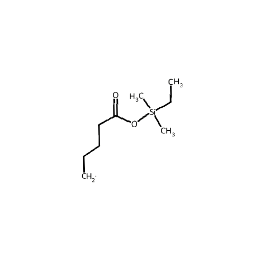 [CH2]CCCC(=O)O[Si](C)(C)CC